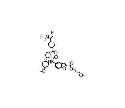 COCCCOC(=O)c1cc2cc(NC(=O)[C@@H]3[C@H](C4CCC(OC)CC4)CCN3C(=O)[C@H]3CC[C@H]([C@H](N)CF)CC3)ccc2o1